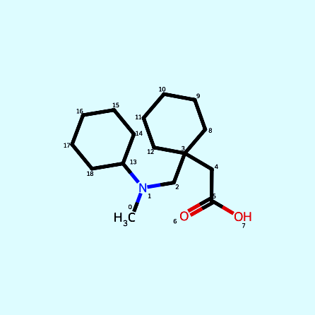 CN(CC1(CC(=O)O)CCCCC1)C1CCCCC1